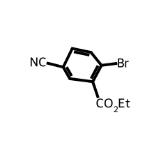 CCOC(=O)c1cc(C#N)ccc1Br